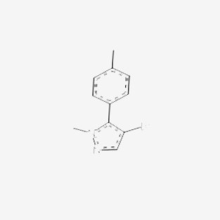 Cc1ccc(-c2c(Br)cnn2C)cc1